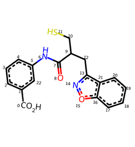 O=C(O)c1cccc(NC(=O)C(CS)Cc2noc3ccccc23)c1